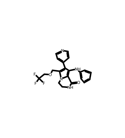 O=C1NCCn2c(COCC(F)(F)F)c(-c3ccncc3)c(Nc3ccccc3)c21